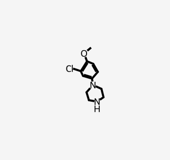 COc1ccc(N2CCNCC2)cc1Cl